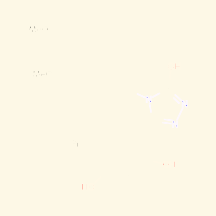 COc1ccc(CCn2c(O)nnc2-c2cc(C(C)C)c(O)cc2O)cc1OC